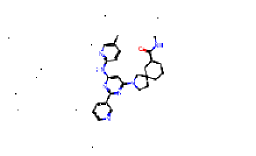 CNC(=O)C1CCCC2(CCN(c3cc(Nc4ccc(C)cn4)nc(-c4cccnc4)n3)C2)C1